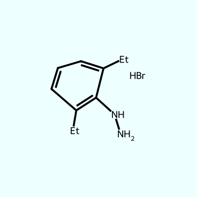 Br.CCc1cccc(CC)c1NN